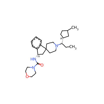 CCC([C@@H]1CCC(C)C1)N1CCC2(CC1)C[C@H](NC(=O)N1CCOCC1)c1ccccc12